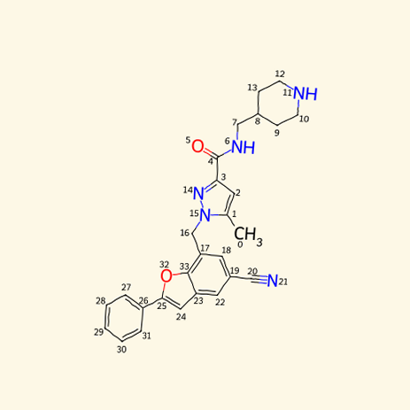 Cc1cc(C(=O)NCC2CCNCC2)nn1Cc1cc(C#N)cc2cc(-c3ccccc3)oc12